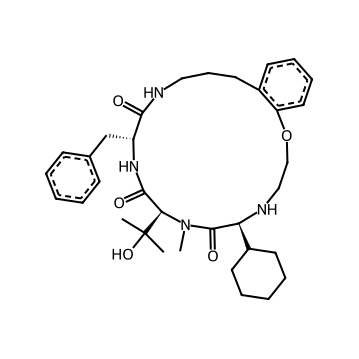 CN1C(=O)[C@H](C2CCCCC2)NCCOc2ccccc2CCCNC(=O)[C@@H](Cc2ccccc2)NC(=O)[C@@H]1C(C)(C)O